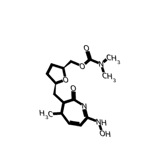 CC1C=CC(NO)=NC(=O)C1C[C@H]1CC[C@@H](COC(=O)N(C)C)O1